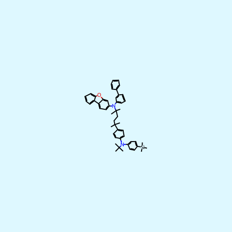 CC(C)(CCC(C)(C)N(c1cccc(-c2ccccc2)c1)c1ccc2c(c1)oc1ccccc12)c1ccc(N(c2ccc([Si](C)(C)C)cc2)C(C)(C)C)cc1